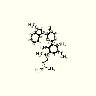 CCc1cc(N(C)CCN(C)C)c(N)c(-c2ncc(Cl)c(-c3cn(C)c4ccccc34)n2)c1N